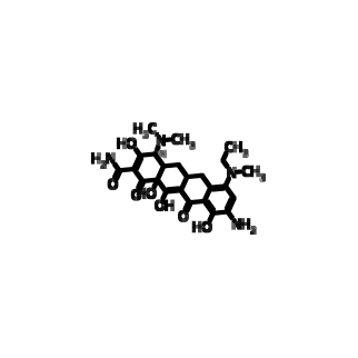 CCN(C)c1cc(N)c(O)c2c1CC1CC3[C@H](N(C)C)C(O)=C(C(N)=O)C(=O)C3(O)C(O)=C1C2=O